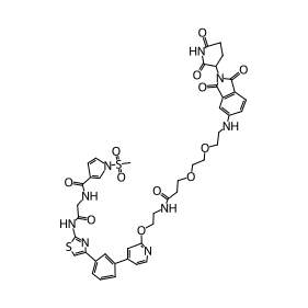 CS(=O)(=O)n1ccc(C(=O)NCC(=O)Nc2nc(-c3cccc(-c4ccnc(OCCNC(=O)CCOCCOCCNc5ccc6c(c5)C(=O)N(C5CCC(=O)NC5=O)C6=O)c4)c3)cs2)c1